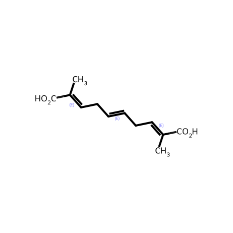 C/C(=C\C/C=C/C/C=C(\C)C(=O)O)C(=O)O